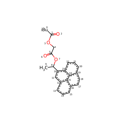 CCC(C)C(=O)OCC(=O)OC(C)c1cc2cccc3ccc4cccc1c4c32